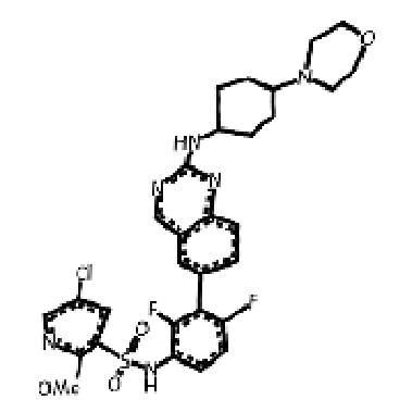 COc1ncc(Cl)cc1S(=O)(=O)Nc1ccc(F)c(-c2ccc3nc(NC4CCC(N5CCOCC5)CC4)ncc3c2)c1F